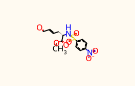 COC(=O)[C@H](CC=CC=O)NS(=O)(=O)c1ccc([N+](=O)[O-])cc1